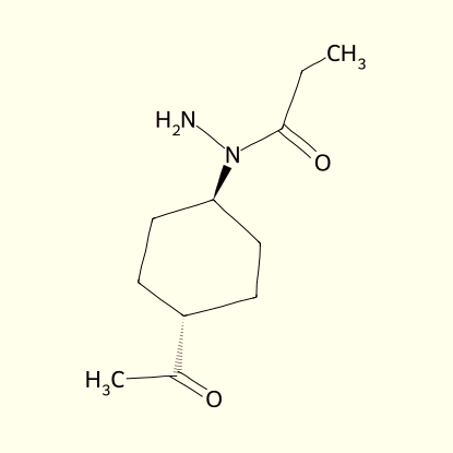 CCC(=O)N(N)[C@H]1CC[C@H](C(C)=O)CC1